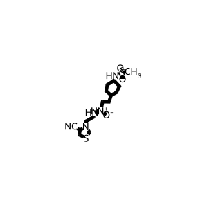 CS(=O)(=O)NC1CCC(CC[NH+]([O-])NCCN2CSCC2C#N)CC1